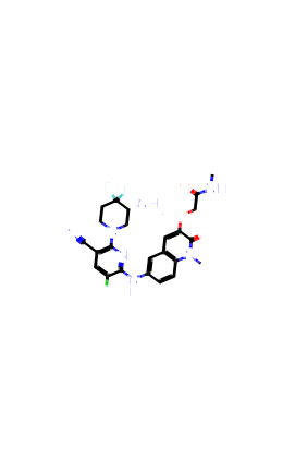 CNC(=O)COc1cc2cc(Nc3nc(N4C[C@@H](N)C(F)(F)[C@@H](C)C4)c(C#N)cc3Cl)ccc2n(C)c1=O